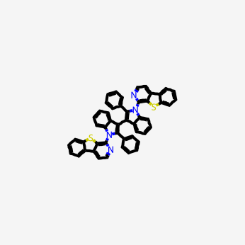 c1ccc(-c2c(-c3c(-c4ccccc4)n(-c4nccc5c4sc4ccccc45)c4ccccc34)c3ccccc3n2-c2nccc3c2sc2ccccc23)cc1